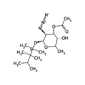 CC(=O)OC1[C@H](O)C(C)O[C@@H](O[Si](C)(C)C(C)(C)C(C)C)[C@H]1N=[N+]=[N-]